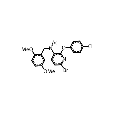 COc1ccc(OC)c(CN(C(C)=O)c2ccc(Br)nc2Oc2ccc(Cl)cc2)c1